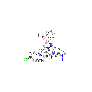 CCOc1ccccc1-c1ccc2c(n1)CN(C[C@H]1CCCN1)C[C@@]21CCN(c2ccc(Cl)cc2C#N)C[C@@H]1CC